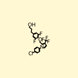 OCCCc1cc(F)c(OCc2c(C(F)(F)F)ccn2-c2ccc(Cl)cc2)c(F)c1